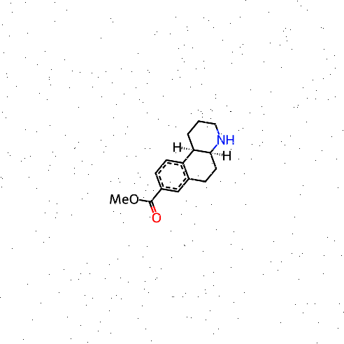 COC(=O)c1ccc2c(c1)CC[C@@H]1NCCC[C@H]21